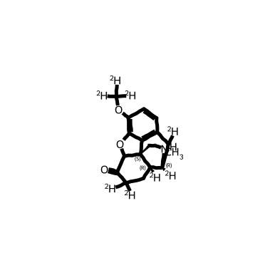 [2H]C([2H])([2H])Oc1ccc2c3c1OC1C(=O)C([2H])([2H])C[C@]4([2H])[C@@]31CCN(C)[C@]4([2H])C2([2H])[2H]